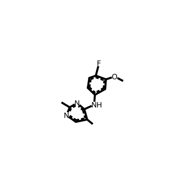 COc1cc(Nc2nc(C)ncc2C)ccc1F